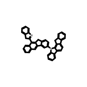 c1ccc2c(c1)CC(c1c3c(cc4ccccc14)-c1cc(-n4c5ccccc5c5ccc6c(c54)Cc4ccccc4-6)ccc1C3)=N2